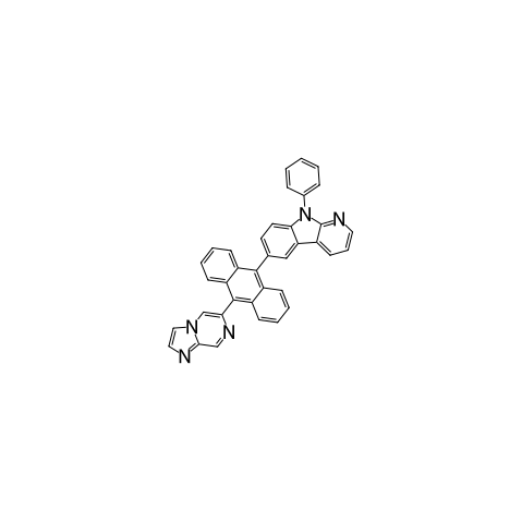 c1ccc(-n2c3ccc(-c4c5ccccc5c(-c5cn6ccnc6cn5)c5ccccc45)cc3c3cccnc32)cc1